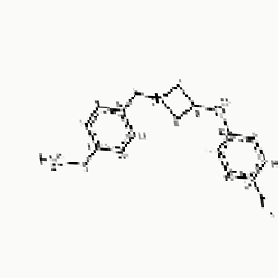 CCc1ccc(CN2CC(Oc3ccc(F)cc3)C2)cc1